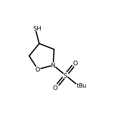 CC(C)(C)S(=O)(=O)N1CC(S)CO1